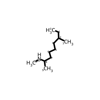 CCC(C)CCCCC(C)NC